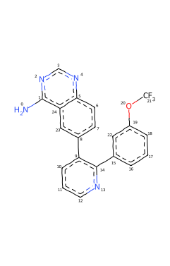 Nc1ncnc2ccc(-c3cccnc3-c3cccc(OC(F)(F)F)c3)cc12